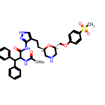 COC(=O)NC(C(=O)Nc1n[nH]cc1CC[C@@H]1CNC[C@@H](COc2ccc(S(C)(=O)=O)cc2)O1)C(c1ccccc1)c1ccccc1